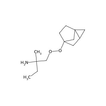 CCC(C)(N)COOC12CCC3(CC3C1)C2